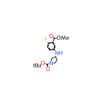 COC(=O)c1cc(N[C@@H]2CCN(C(=O)OC(C)(C)C)C2)ccc1F